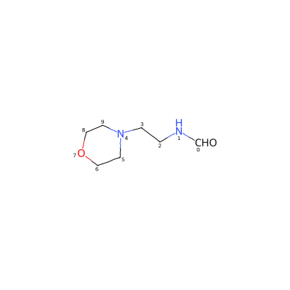 O=CNCCN1CCOCC1